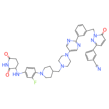 N#Cc1cccc(-c2ccc(=O)n(Cc3cccc(-c4ncc(N5CCN(CC6CCN(c7ccc(NC8CCC(=O)NC8=O)cc7F)CC6)CC5)cn4)c3)n2)c1